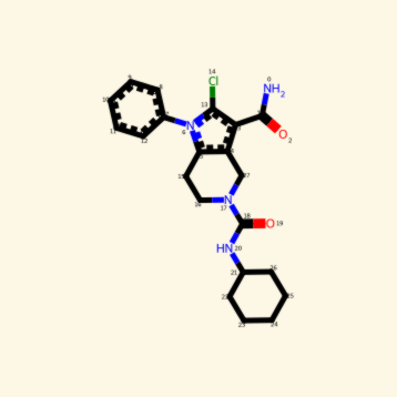 NC(=O)c1c2c(n(-c3ccccc3)c1Cl)CCN(C(=O)NC1CCCCC1)C2